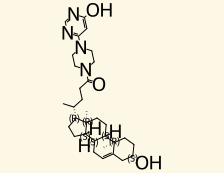 CC(CCC(=O)N1CCN(c2cc(O)ncn2)CC1)[C@H]1CC[C@H]2[C@@H]3CC=C4C[C@@H](O)CC[C@]4(C)[C@H]3CC[C@]12C